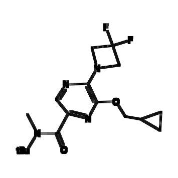 CN(C(=O)c1cnc(N2CC(F)(F)C2)c(OCC2CC2)n1)C(C)(C)C